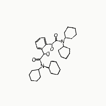 O=C(C1OOC(C(=O)N(C2CCCCC2)C2CCCCC2)c2ccccc21)N(C1CCCCC1)C1CCCCC1